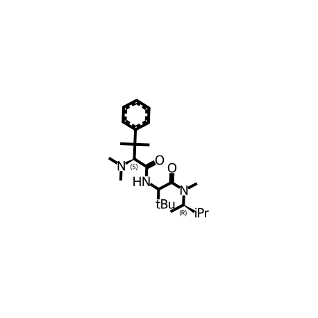 CC(C)[C@@H](C)N(C)C(=O)C(NC(=O)[C@@H](N(C)C)C(C)(C)c1ccccc1)C(C)(C)C